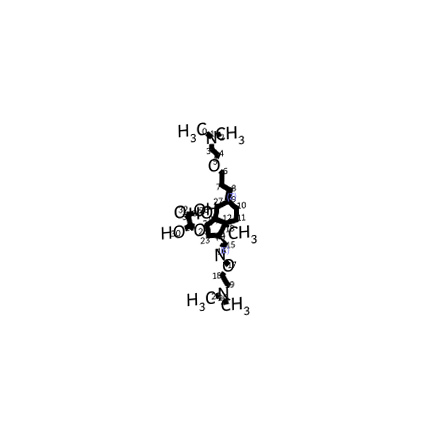 CN(C)CCOCC/C=C1/CC[C@]2(C)[C@@H](/C=N/OCCN(C)C)CC[C@]2(O)C1.O=C(O)C(=O)O